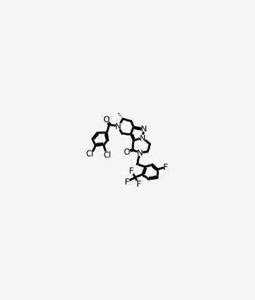 C[C@@H]1Cc2nn3c(c2CN1C(=O)c1ccc(Cl)c(Cl)c1)C(=O)N(Cc1cc(F)ccc1C(F)(F)F)CC3